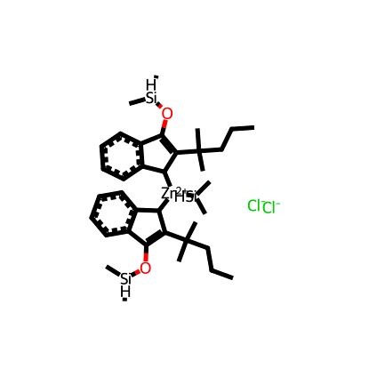 CCCC(C)(C)C1=C(O[SiH](C)C)c2ccccc2[CH]1[Zr+2]([CH]1C(C(C)(C)CCC)=C(O[SiH](C)C)c2ccccc21)[SiH](C)C.[Cl-].[Cl-]